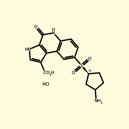 Cl.NC1CC[C@H](S(=O)(=O)c2ccc3[nH]c(=O)c4[nH]cc(C(=O)O)c4c3c2)C1